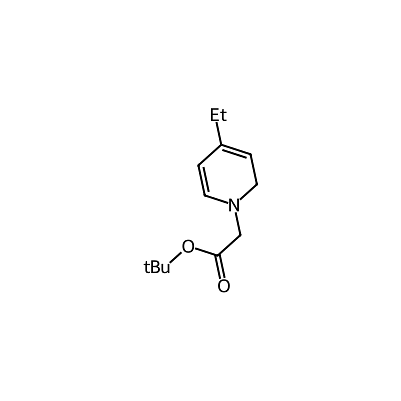 [CH2]CC1=CCN(CC(=O)OC(C)(C)C)C=C1